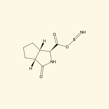 N=BOC(=O)[C@H]1NC(=O)[C@@H]2CCC[C@H]12